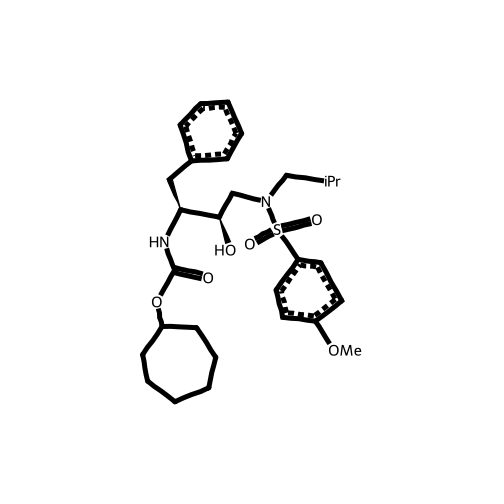 COc1ccc(S(=O)(=O)N(CC(C)C)C[C@@H](O)[C@H](Cc2ccccc2)NC(=O)OC2CCCCCC2)cc1